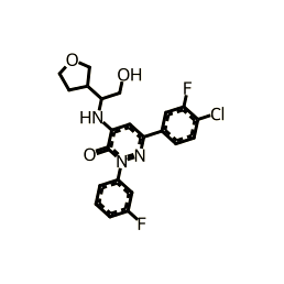 O=c1c(NC(CO)C2CCOC2)cc(-c2ccc(Cl)c(F)c2)nn1-c1cccc(F)c1